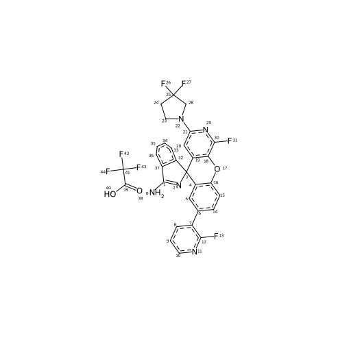 NC1=NC2(c3cc(-c4cccnc4F)ccc3Oc3c2cc(N2CCC(F)(F)C2)nc3F)c2ccccc21.O=C(O)C(F)(F)F